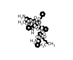 CC(C)CCC(=O)N(C(Cc1ccccc1)C(N)=O)N1CC[C@H](NC(=O)[C@@H](Cc2ccccc2)NC(=O)[C@@H](Cc2c[nH]c3ccccc23)N(C(=O)OCc2ccccc2)C(=O)[C@H](CCCCN)NC(=O)OC(C)(C)C)C1=O